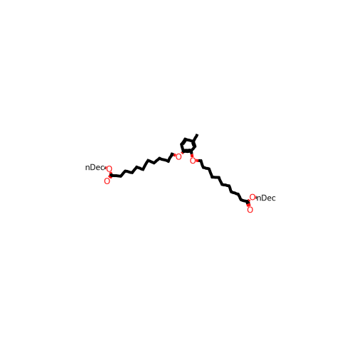 CCCCCCCCCCOC(=O)CCCCCCCCCCOc1ccc(C)cc1OCCCCCCCCCCC(=O)OCCCCCCCCCC